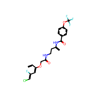 C=C/C(=C\C(F)=C\Cl)OCC(=O)NCCC(=C)NC(=O)c1ccc(OC(F)(F)F)cc1